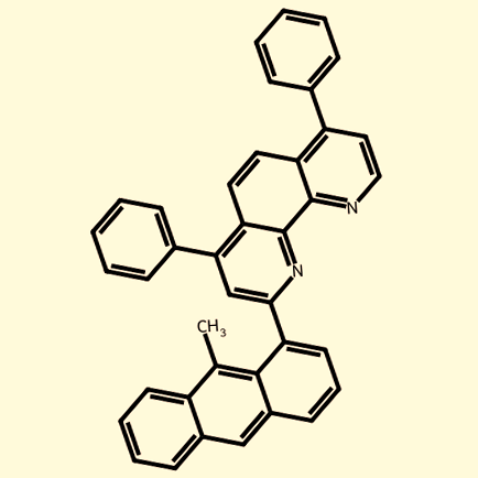 Cc1c2ccccc2cc2cccc(-c3cc(-c4ccccc4)c4ccc5c(-c6ccccc6)ccnc5c4n3)c12